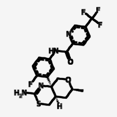 C[C@H]1C[C@H]2CSC(N)=N[C@@]2(c2cc(NC(=O)c3ccc(C(F)(F)F)cn3)ccc2F)CO1